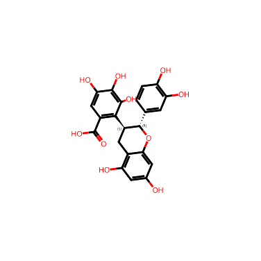 O=C(O)c1cc(O)c(O)c(O)c1[C@@H]1Cc2c(O)cc(O)cc2O[C@H]1c1ccc(O)c(O)c1